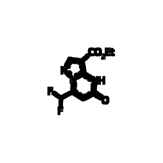 CCOC(=O)c1cnn2c(C(F)F)cc(=O)[nH]c12